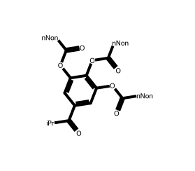 CCCCCCCCCC(=O)Oc1cc(C(=O)C(C)C)cc(OC(=O)CCCCCCCCC)c1OC(=O)CCCCCCCCC